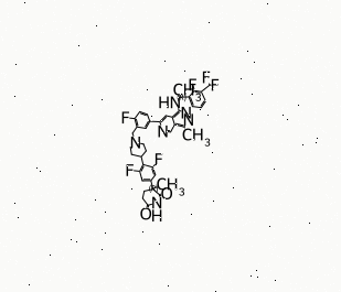 Cc1nnc(N[C@H](C)c2cccc(C(F)F)c2F)c2cc(-c3ccc(F)c(CN4CCC(c5c(F)cc([C@@]6(C)CCC(=O)NC6=O)cc5F)CC4)c3)ncc12